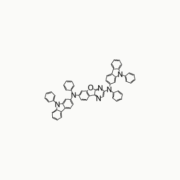 c1ccc(N(c2ccc3c(c2)oc2nc(N(c4ccccc4)c4ccc5c6ccccc6n(-c6ccccc6)c5c4)cnc23)c2ccc3c4ccccc4n(-c4ccccc4)c3c2)cc1